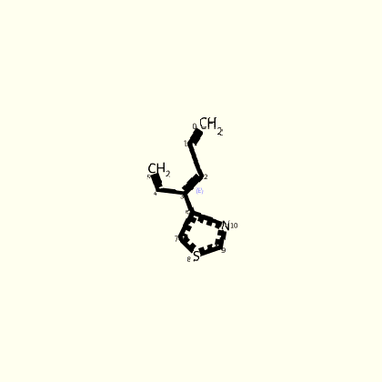 C=C/C=C(\C=C)c1cscn1